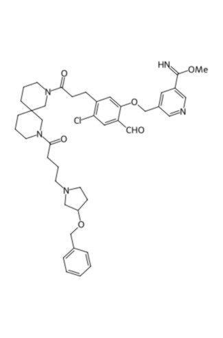 COC(=N)c1cncc(COc2cc(CCC(=O)N3CCCC4(CCCN(C(=O)CCCN5CCC(OCc6ccccc6)C5)C4)C3)c(Cl)cc2C=O)c1